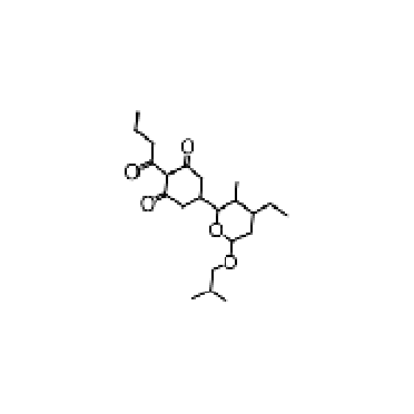 CCCC(=O)C1C(=O)CC(C2OC(OCC(C)C)CC(CC)C2C)CC1=O